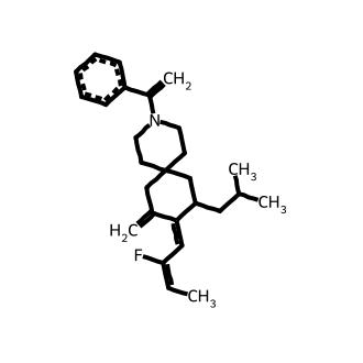 C=C1CC2(CCN(C(=C)c3ccccc3)CC2)CC(CC(C)C)/C1=C/C(F)=C\C